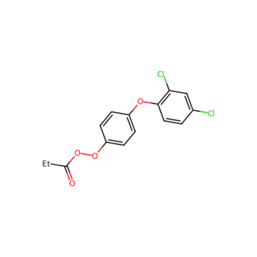 CCC(=O)OOc1ccc(Oc2ccc(Cl)cc2Cl)cc1